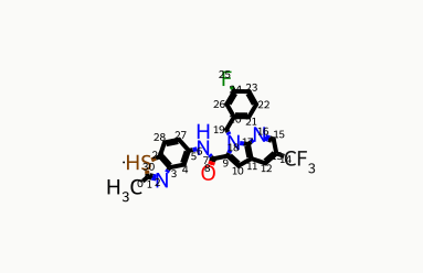 CC1=Nc2cc(NC(=O)c3cc4cc(C(F)(F)F)cnc4n3Cc3cccc(F)c3)ccc2[SH]1